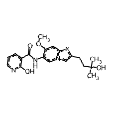 COc1cc2nc(CCC(C)(C)O)cn2cc1NC(=O)c1cccnc1O